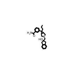 CCCC1(c2cccc(C(N)=O)c2)C2CN(CC3(O)Cc4ccccc4C3)CC21